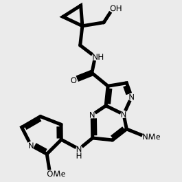 CNc1cc(Nc2cccnc2OC)nc2c(C(=O)NCC3(CO)CC3)cnn12